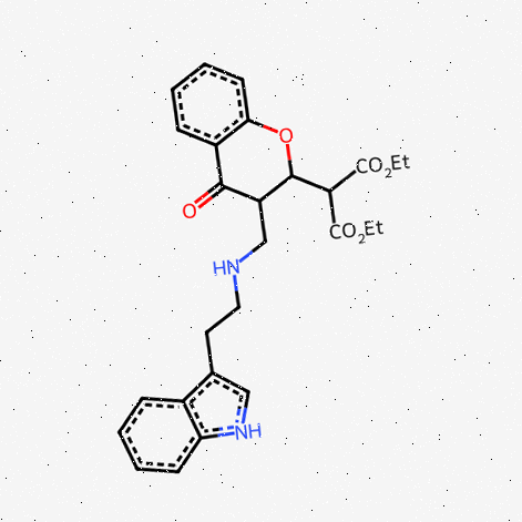 CCOC(=O)C(C(=O)OCC)C1Oc2ccccc2C(=O)C1CNCCc1c[nH]c2ccccc12